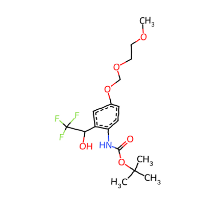 COCCOCOc1ccc(NC(=O)OC(C)(C)C)c(C(O)C(F)(F)F)c1